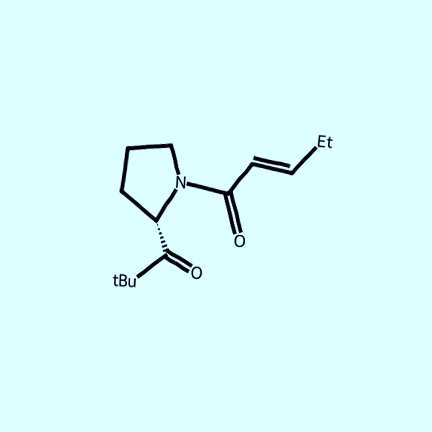 CC/C=C/C(=O)N1CCC[C@H]1C(=O)C(C)(C)C